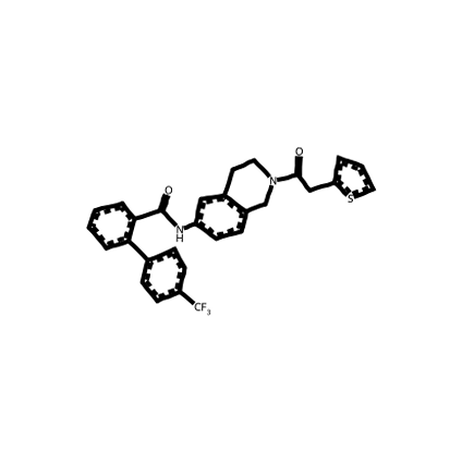 O=C(Nc1ccc2c(c1)CCN(C(=O)Cc1cccs1)C2)c1ccccc1-c1ccc(C(F)(F)F)cc1